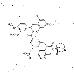 COc1ccc(C(Cc2c(Cl)c[n+]([O-])cc2Cl)OC(=O)c2cc(C)cc(CN(C(=O)O[C@H]3CN4CCC3CC4)c3ccccc3F)c2)cc1OC.O=CO